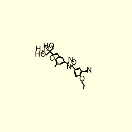 CCCOc1ccc(-c2nc(-c3cc(C)c4oc(C(N)(CO)CO)cc4c3)no2)cc1C#N